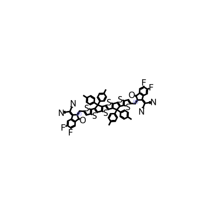 Cc1ccc(C2(c3ccc(C)cc3)c3c(sc4cc(/C=C5\C(=O)c6cc(F)c(F)cc6C5=C(C#N)C#N)sc34)-c3sc4c5c(sc4c32)-c2sc3cc(/C=C4\C(=O)c6cc(F)c(F)cc6C4=C(C#N)C#N)sc3c2C5(c2ccc(C)cc2)c2ccc(C)cc2)cc1